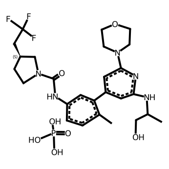 Cc1ccc(NC(=O)N2CC[C@@H](CC(F)(F)F)C2)cc1-c1cc(NC(C)CO)nc(N2CCOCC2)c1.O=P(O)(O)O